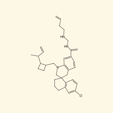 C=CCCNCNC(=C)c1ccc2c(c1)N(CC1CCC1C(C)C=C)CC1(CCCc3cc(Cl)ccc31)C2